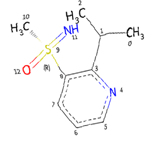 CC(C)c1ncccc1[S@](C)(=N)=O